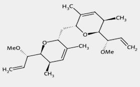 C=C[C@H](OC)[C@H]1O[C@H](C[C@H]2O[C@H]([C@H](C=C)OC)[C@H](C)C=C2C)C(C)=C[C@H]1C